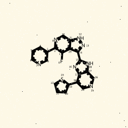 Fc1c(-c2cccnc2)ncc2[nH]nc(-c3nc4c(-c5cccs5)cncc4[nH]3)c12